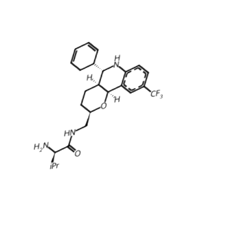 CC(C)[C@@H](N)C(=O)NC[C@H]1CC[C@@H]2[C@H](O1)c1cc(C(F)(F)F)ccc1N[C@H]2C1C=CC=CC1